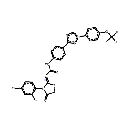 O=C(/N=C1\SCC(=O)N1c1ccc(Cl)cc1Cl)Nc1ccc(-c2ncn(-c3ccc(OC(F)(F)F)cc3)n2)cc1